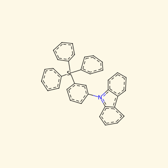 c1ccc([Si](c2ccccc2)(c2ccccc2)c2cccc(-n3c4ccccc4c4ccccc43)c2)cc1